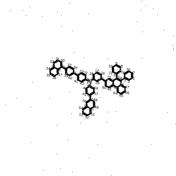 c1ccc(-c2c(-c3ccccc3)c3cc(-c4cccc(N(c5ccc(-c6ccc(-c7cccc8ccccc78)cc6)cc5)c5ccc(-c6ccc7ccccc7c6)cc5)c4)ccc3c3ccccc23)cc1